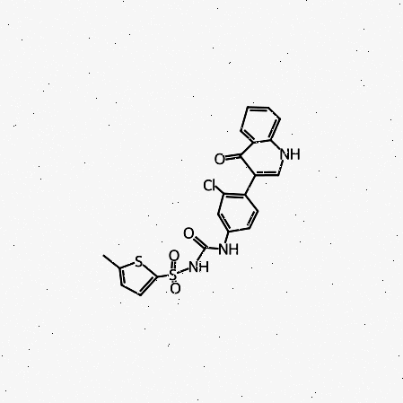 Cc1ccc(S(=O)(=O)NC(=O)Nc2ccc(-c3c[nH]c4ccccc4c3=O)c(Cl)c2)s1